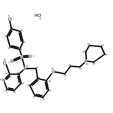 Cl.O=S(=O)(c1ccc(Cl)cc1)N(Cc1ccccc1OCCCN1CCCCC1)c1cccnc1Cl